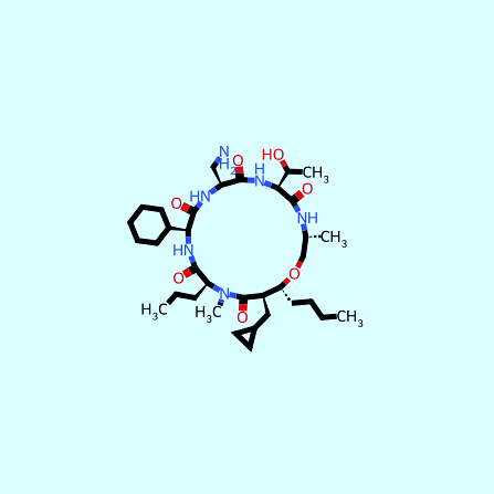 CCCC[C@H]1OC[C@@H](C)NC(=O)[C@H](C(C)O)NC(=O)[C@H](CN)NC(=O)[C@H](C2CCCCC2)NC(=O)[C@H](CCC)N(C)C(=O)[C@@H]1CC1CC1